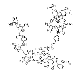 COc1cccc2c1C(=O)c1c(O)c3c(c(O)c1C2=O)C[C@@](O)(C(=O)CSC[C@H](NC(=O)C(CO)CCC(=O)[C@H](CC(=O)O)NC(=O)CNC(=O)[C@H](CCCNC(=N)N)NC(C)=O)C(N)=O)C[C@@H]3O[C@H]1C[C@H](NC(=O)OCc2ccc(NC(=O)[C@H](CC(=O)O)NC(=O)[C@@H](NC(=O)[C@H](CCC(=O)O)NC(=O)[C@H](CC(C)C)NC(C)=O)C(C)C)cc2)[C@H](O)[C@H](C)O1